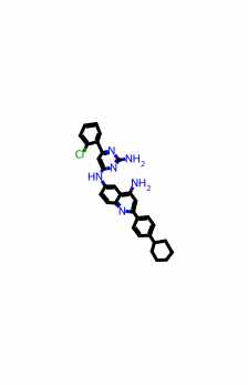 Nc1nc(Nc2ccc3nc(-c4ccc(C5CCCCC5)cc4)cc(N)c3c2)cc(-c2ccccc2Cl)n1